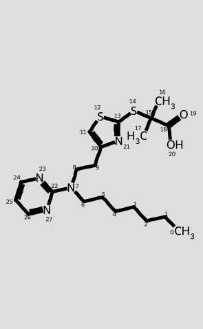 CCCCCCCN(CCc1csc(SC(C)(C)C(=O)O)n1)c1ncccn1